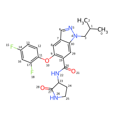 CC(C)Cn1ncc2cc(Oc3ccc(F)cc3F)c(C(=O)NC3CCNC3=O)cc21